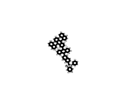 c1ccc(-n2c(-c3ccc4cc(-c5c6ccccc6c(-c6ccc7c(-c8cccc9ccccc89)c8ccccc8c(-c8cccc9ccccc89)c7c6)c6ccccc56)ccc4c3)nc3ccccc32)cc1